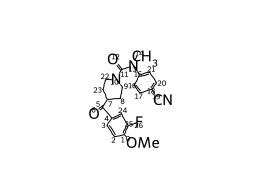 COc1ccc(C(=O)C2CCN(C(=O)N(C)c3ccc(C#N)cc3)CC2)cc1F